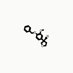 COc1cc(C2(C#N)CCOC2)ccc1OCc1ccccc1